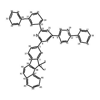 CC1(C)c2cc(-c3cc(-c4ccc(-c5ccccc5)nc4)nc(-c4cccc(-c5ccccc5)c4)n3)ccc2-c2ccc3ccccc3c21